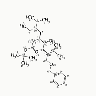 CC(C)[C@@H](CO)C[C@H](NC(=O)OC(C)(C)C)[C@@H](O)C[C@H](COCc1ccccc1)C(C)C